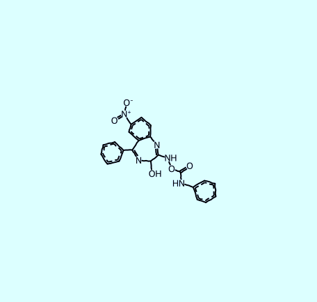 O=C(Nc1ccccc1)ONC1=Nc2ccc([N+](=O)[O-])cc2C(c2ccccc2)=NC1O